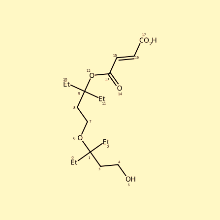 CCC(CC)(CCO)OCCC(CC)(CC)OC(=O)/C=C/C(=O)O